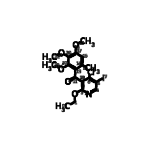 CCOc1ncc(I)c(Cl)c1C(=O)c1c(C)cc(OC)c(OC)c1OC